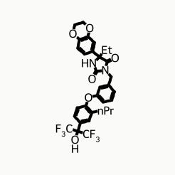 CCCc1cc(C(O)(C(F)(F)F)C(F)(F)F)ccc1Oc1cccc(CN2C(=O)NC(CC)(c3ccc4c(c3)OCCO4)C2=O)c1